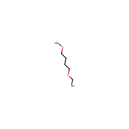 CCCCOCCCCOCC(C)CC